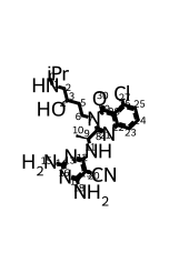 CC(C)NCC(O)CCn1c([C@H](C)Nc2nc(N)nc(N)c2C#N)nc2cccc(Cl)c2c1=O